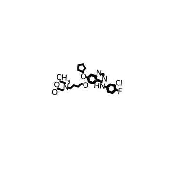 C[C@H]1CN(CCCCOc2cc3c(Nc4ccc(F)c(Cl)c4)ncnc3cc2OC2CCCC2)CC(=O)O1